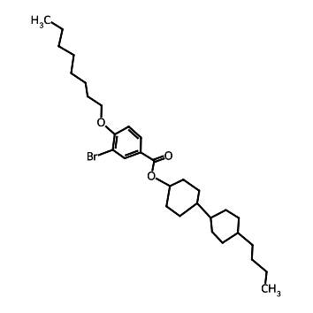 CCCCCCCCOc1ccc(C(=O)OC2CCC(C3CCC(CCCC)CC3)CC2)cc1Br